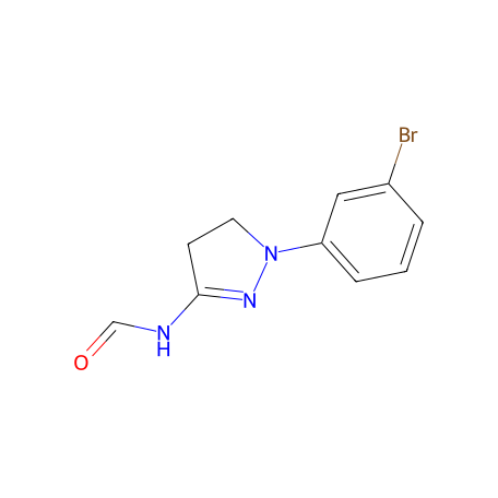 O=CNC1=NN(c2cccc(Br)c2)CC1